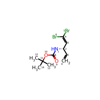 C=C[C@@H](C=C(Br)Br)NC(=O)OC(C)(C)C